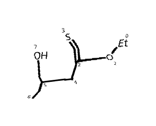 CCOC(=S)CC(C)O